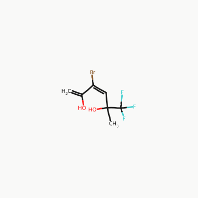 C=C(O)/C(Br)=C\C(C)(O)C(F)(F)F